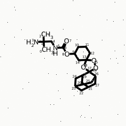 CC(C)(N)CNC(=O)OC1CCCC2(C1)OOC1(O2)C2CC3CC(C2)CC1C3